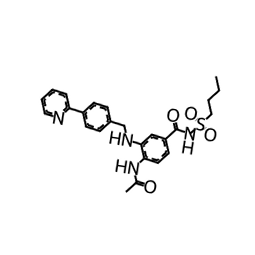 CCCCS(=O)(=O)NC(=O)c1ccc(NC(C)=O)c(NCc2ccc(-c3ccccn3)cc2)c1